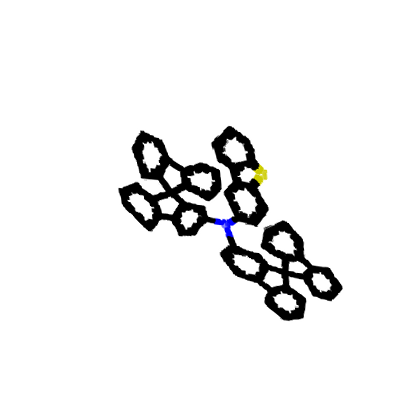 c1ccc2c(c1)-c1ccccc1C21c2ccccc2-c2ccc(N(c3ccc4c(c3)C3(c5ccccc5-c5ccccc53)c3ccccc3-4)c3ccc4sc5ccccc5c4c3)cc21